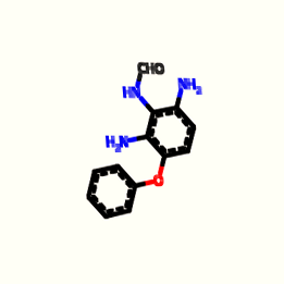 Nc1ccc(Oc2ccccc2)c(N)c1NC=O